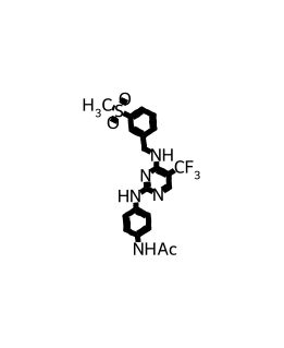 CC(=O)Nc1ccc(Nc2ncc(C(F)(F)F)c(NCc3cccc(S(C)(=O)=O)c3)n2)cc1